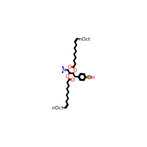 Br.CCCCCCCC/C=C\CCCCCCCC(=O)OC(Cc1ccc(O)cc1)C(CN(C)C)OC(=O)CCCCCCC/C=C\CCCCCCCC